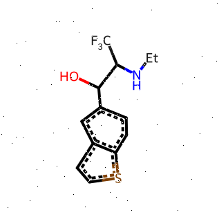 CCNC(C(O)c1ccc2sccc2c1)C(F)(F)F